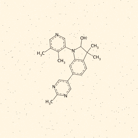 Cc1ncc(-c2ccc3c(c2)N(c2cncc(C)c2C)C(O)C3(C)C)cn1